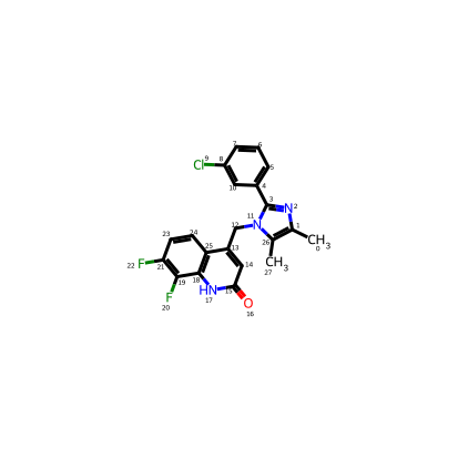 Cc1nc(-c2cccc(Cl)c2)n(Cc2cc(=O)[nH]c3c(F)c(F)ccc23)c1C